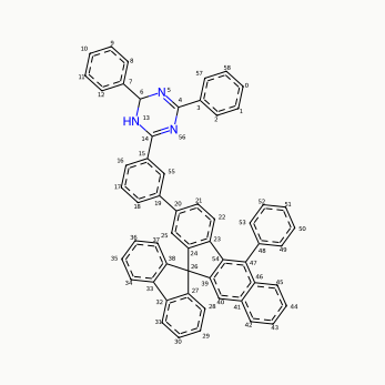 c1ccc(C2=NC(c3ccccc3)NC(c3cccc(-c4ccc5c(c4)C4(c6ccccc6-c6ccccc64)c4cc6ccccc6c(-c6ccccc6)c4-5)c3)=N2)cc1